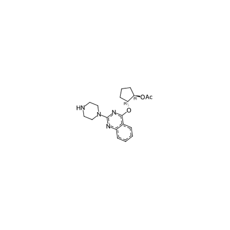 CC(=O)O[C@@H]1CCC[C@H]1Oc1nc(N2CCNCC2)nc2ccccc12